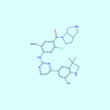 COc1cc(C(=O)N2CCC3CNCC32)c(Cl)cc1Nc1nccc(-c2cc(C#N)c3c(c2)C(C)(C)CN3)n1